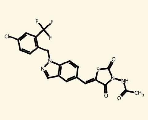 CC(=O)NN1C(=O)S/C(=C\c2ccc3c(cnn3Cc3ccc(Cl)cc3C(F)(F)F)c2)C1=O